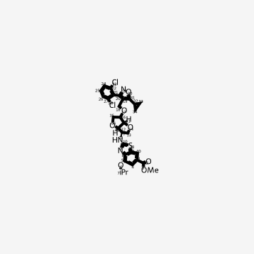 COC(=O)c1cc(OC(C)C)c2nc(N[C@@H]3CO[C@@H]4C(OCc5c(-c6c(Cl)cccc6Cl)noc5C5CC5)CO[C@@H]43)sc2c1